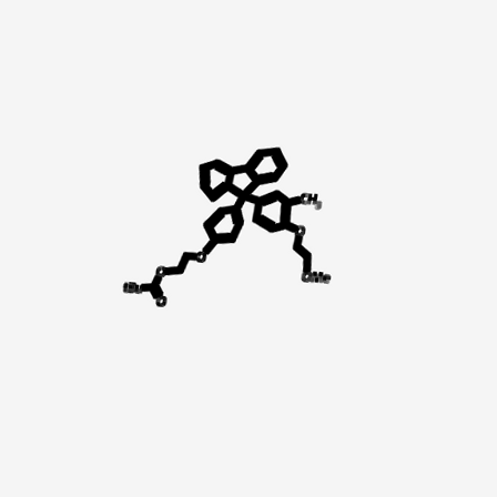 COCCOc1ccc(C2(c3ccc(OCCOC(=O)C(C)(C)C)cc3)c3ccccc3-c3ccccc32)cc1C